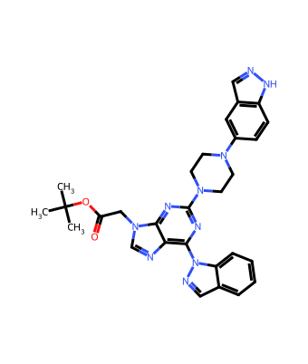 CC(C)(C)OC(=O)Cn1cnc2c(-n3ncc4ccccc43)nc(N3CCN(c4ccc5[nH]ncc5c4)CC3)nc21